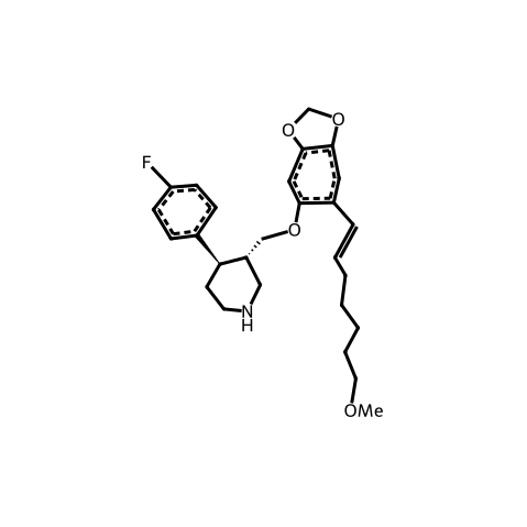 COCCCCCC=Cc1cc2c(cc1OC[C@@H]1CNCC[C@H]1c1ccc(F)cc1)OCO2